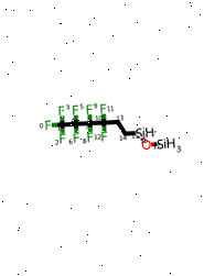 FC(F)(F)C(F)(F)C(F)(F)C(F)(F)CC[SiH]O[SiH3]